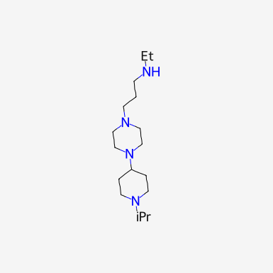 CCNCCCN1CCN(C2CCN(C(C)C)CC2)CC1